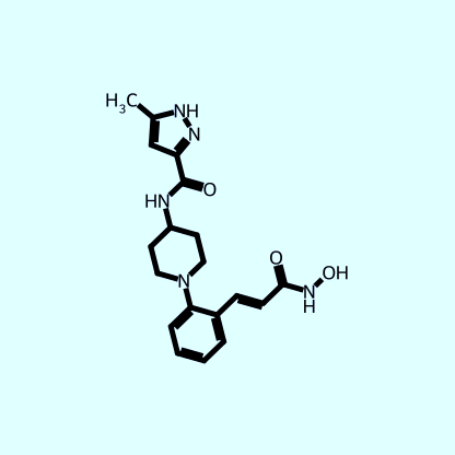 Cc1cc(C(=O)NC2CCN(c3ccccc3C=CC(=O)NO)CC2)n[nH]1